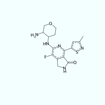 Cc1cc(-c2nc(NC3CCOCC3N)c(F)c3c2C(=O)NC3)sn1